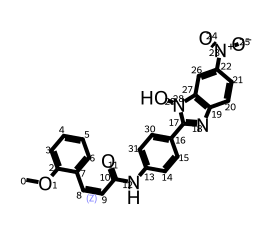 COc1ccccc1/C=C\C(=O)Nc1ccc(-c2nc3ccc([N+](=O)[O-])cc3n2O)cc1